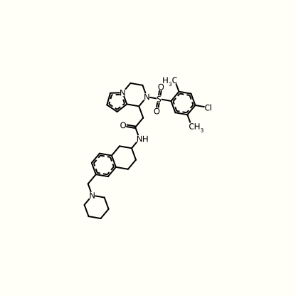 Cc1cc(S(=O)(=O)N2CCn3cccc3C2CC(=O)NC2CCc3cc(CN4CCCCC4)ccc3C2)c(C)cc1Cl